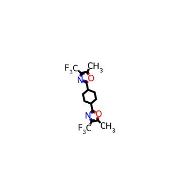 Cc1oc(C2CCC(c3nc(C(F)(F)F)c(C)o3)CC2)nc1C(F)(F)F